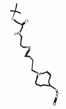 CC(C)(C)OC(=O)NCCOCCCN1CCC(N=[N+]=[N-])CC1